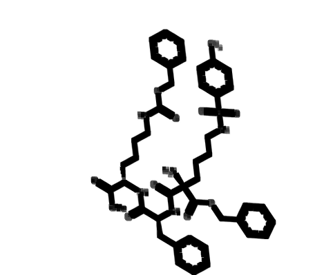 COC(=O)[C@H](CCCCNC(=O)OCc1ccccc1)NC(=O)[C@H](Cc1ccccc1)NC(=O)[C@](N)(CCCCNS(=O)(=O)c1ccc(C)cc1)C(=O)OCc1ccccc1